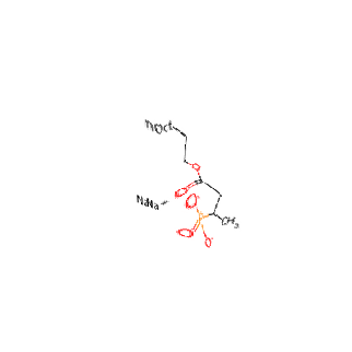 CCCCCCCCCCOC(=O)CC(C)P(=O)([O-])[O-].[Na+].[Na+]